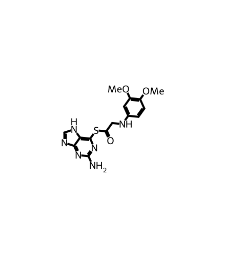 COc1ccc(NCC(=O)Sc2nc(N)nc3nc[nH]c23)cc1OC